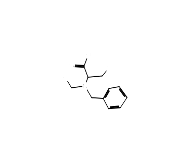 CCN(Cc1ccccc1)C(CS)C(=O)O